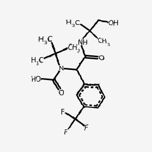 CC(C)(CO)NC(=O)C(c1cccc(C(F)(F)F)c1)N(C(=O)O)C(C)(C)C